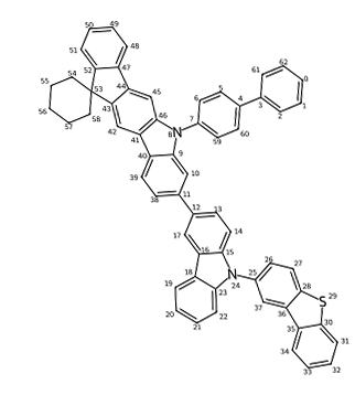 c1ccc(-c2ccc(-n3c4cc(-c5ccc6c(c5)c5ccccc5n6-c5ccc6sc7ccccc7c6c5)ccc4c4cc5c(cc43)-c3ccccc3C53CCCCC3)cc2)cc1